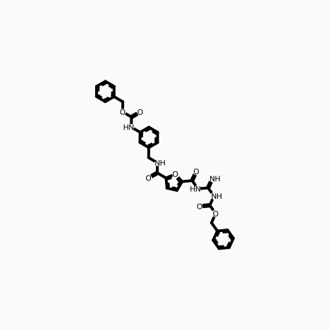 N=C(NC(=O)OCc1ccccc1)NC(=O)c1ccc(C(=O)NCc2cccc(NC(=O)OCc3ccccc3)c2)o1